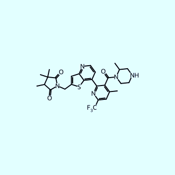 Cc1cc(C(F)(F)F)nc(-c2ccnc3cc(CN4C(=O)C(C)C(C)(C)C4=O)sc23)c1C(=O)N1CCNCC1C